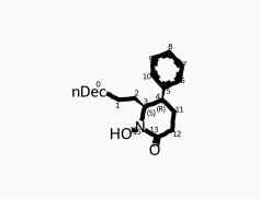 CCCCCCCCCCCC[C@H]1[C@@H](c2ccccc2)CCC(=O)N1O